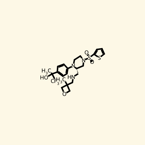 CC1(CNC[C@H]2CN(S(=O)(=O)c3cccs3)CCN2c2ccc(C(C)(O)C(F)(F)F)cc2)COC1